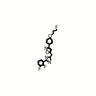 FCCCOc1ccc(-c2cc(CC3C=NC(c4cccc(F)c4F)=N3)on2)cc1